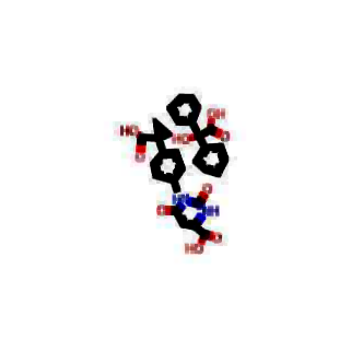 Cc1ccc(C2(C(=O)O)CC2)cc1.O=C(O)C(O)(c1ccccc1)c1ccccc1.O=C(O)c1cc(=O)[nH]c(=O)[nH]1